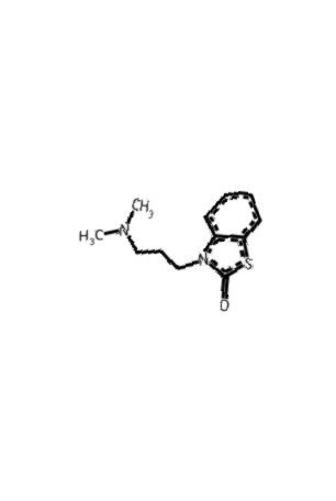 CN(C)CCCn1c(=O)sc2ccccc21